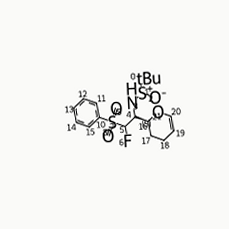 CC(C)(C)[S+]([O-])NC(C(F)S(=O)(=O)c1ccccc1)[C@@H]1CCC=CO1